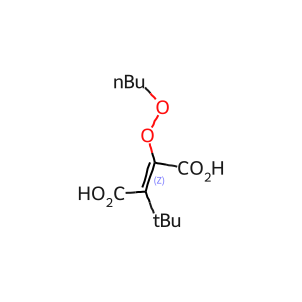 CCCCOO/C(C(=O)O)=C(\C(=O)O)C(C)(C)C